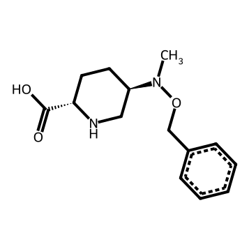 CN(OCc1ccccc1)[C@@H]1CC[C@@H](C(=O)O)NC1